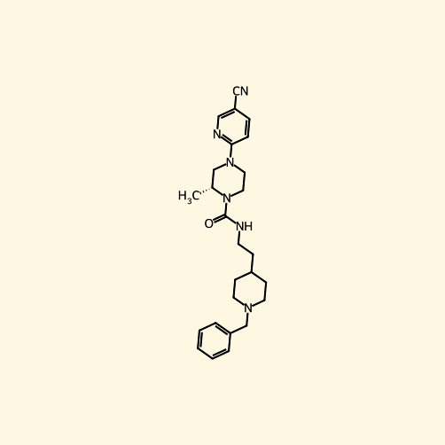 C[C@@H]1CN(c2ccc(C#N)cn2)CCN1C(=O)NCCC1CCN(Cc2ccccc2)CC1